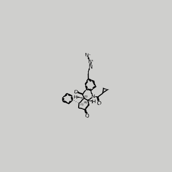 [N-]=[N+]=NCc1ccc2c(c1)C(=O)[C@H]1[C@@H](c3ccccc3)CC(=O)C[C@H]1N2C(=O)C1CC1